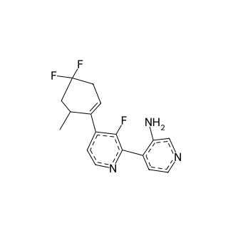 CC1CC(F)(F)CC=C1c1ccnc(-c2ccncc2N)c1F